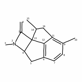 C=C1N(C)C2Cc3ccc(C)c4c3C12C(C)C4